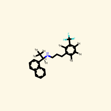 [2H]c1c([2H])c(CCCN[C@@]([2H])(c2cccc3ccccc23)C([2H])([2H])[2H])c([2H])c(C(F)(F)F)c1[2H]